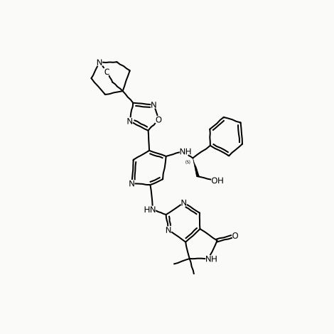 CC1(C)NC(=O)c2cnc(Nc3cc(N[C@H](CO)c4ccccc4)c(-c4nc(C56CCN(CC5)CC6)no4)cn3)nc21